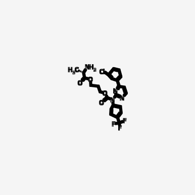 C[C@H](N)C(=O)OCCCOC(=O)N(c1ccc(C(F)(F)F)cc1)c1nccc(-c2cccc(Cl)c2)n1